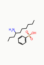 CCCCCCC(N)CCC.O=S(=O)(O)c1ccccc1